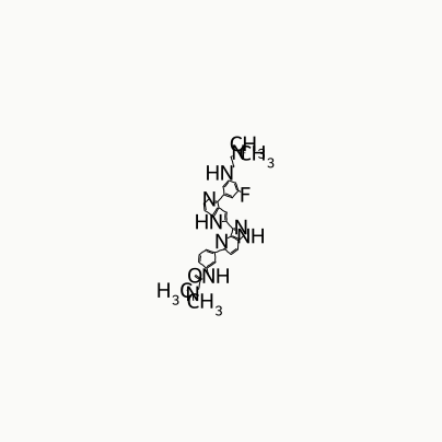 CN(C)CCNc1cc(F)cc(-c2nccc3[nH]c(-c4n[nH]c5ccc(-c6cccc(NC(=O)CN(C)C)c6)nc45)cc23)c1